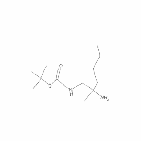 CCCCC(C)(N)CNC(=O)OC(C)(C)C